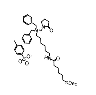 CCCCCCCCCCCCCCCC(=O)NCCCCCC[N+](Cc1ccccc1)(Cc1ccccc1)CN1CCCC1=O.Cc1ccc(S(=O)(=O)[O-])cc1